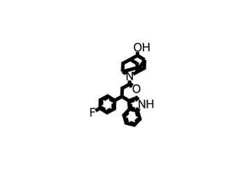 O=C(CC(c1ccc(F)cc1)c1c[nH]c2ccccc12)N1C2CC3CC1CC(C2)C3O